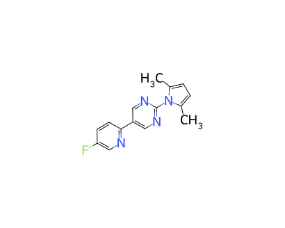 Cc1ccc(C)n1-c1ncc(-c2ccc(F)cn2)cn1